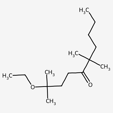 CCCCC(C)(C)C(=O)CCC(C)(C)OCC